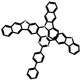 c1ccc(-c2ccc(-c3nc(-c4ccc5oc6ccccc6c5c4)nc(-c4cc5c(cc4-n4c6ccccc6c6cc7ccccc7cc64)oc4cc6ccccc6cc45)n3)cc2)cc1